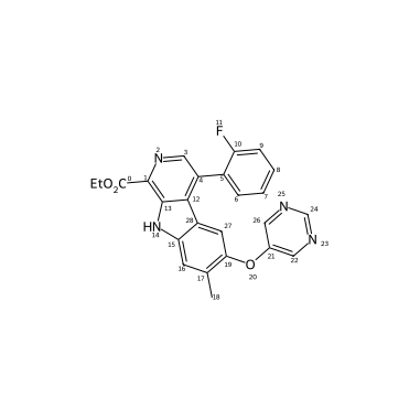 CCOC(=O)c1ncc(-c2ccccc2F)c2c1[nH]c1cc(C)c(Oc3cncnc3)cc12